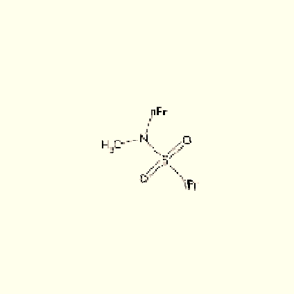 C[CH]CN(C)S(=O)(=O)C(C)C